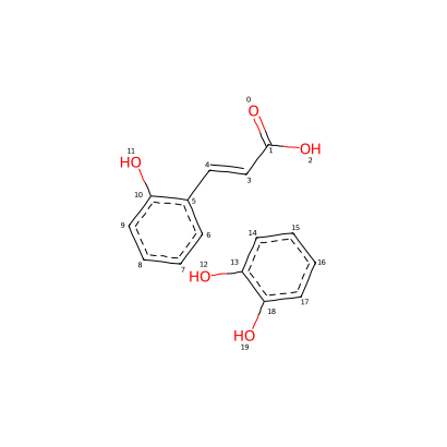 O=C(O)C=Cc1ccccc1O.Oc1ccccc1O